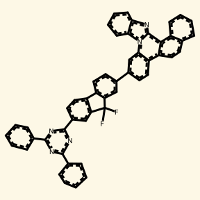 FC1(F)c2cc(-c3ccc4c5ccc6ccccc6c5c5nc6ccccc6n5c4c3)ccc2-c2ccc(-c3nc(-c4ccccc4)nc(-c4ccccc4)n3)cc21